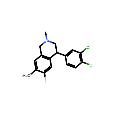 COc1cc2c(cc1F)C(c1ccc(Cl)c(Cl)c1)CN(C)C2